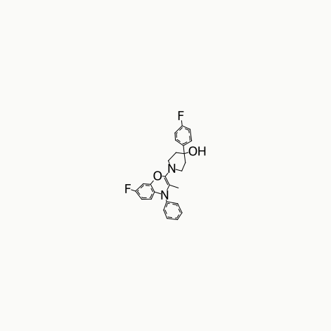 CC1=C(N2CCC(O)(c3ccc(F)cc3)CC2)Oc2cc(F)ccc2N1c1ccccc1